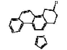 ClC1CCc2ccc3c(ccc4ccccc43)c2C1.c1ccoc1